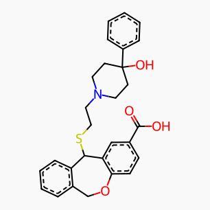 O=C(O)c1ccc2c(c1)C(SCCN1CCC(O)(c3ccccc3)CC1)c1ccccc1CO2